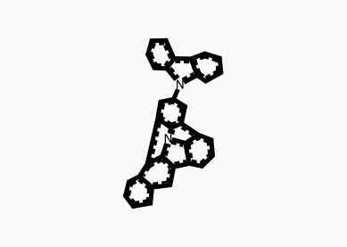 c1ccc2c(c1)cc1c3cccc4c5cc(-n6c7ccccc7c7ccccc76)cc6c2c1n(c43)c56